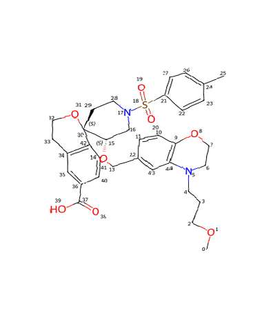 COCCCN1CCOc2ccc(CO[C@H]3CN(S(=O)(=O)c4ccc(C)cc4)CC[C@@]34OCCc3cc(C(=O)O)ccc34)cc21